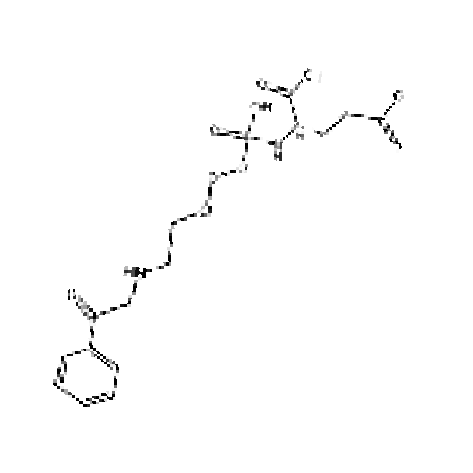 O=C(O)CC[C@H](NP(=O)(O)OOOCCNCC(=O)c1ccccc1)C(=O)O